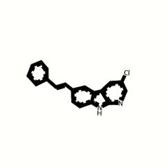 Clc1cnc2[nH]c3ccc(/C=C/c4ccccc4)cc3c2c1